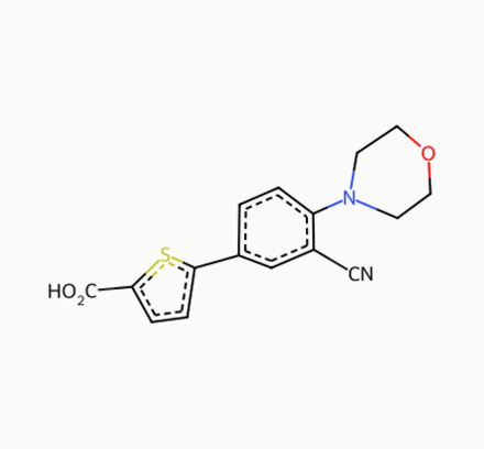 N#Cc1cc(-c2ccc(C(=O)O)s2)ccc1N1CCOCC1